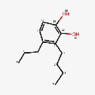 CCCCc1c(CCC)ccc(O)c1O